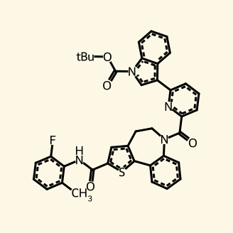 Cc1cccc(F)c1NC(=O)c1cc2c(s1)-c1ccccc1N(C(=O)c1cccc(-c3cn(C(=O)OC(C)(C)C)c4ccccc34)n1)CC2